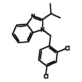 CC(C)c1nc2ccccc2n1Cc1ccc(Cl)cc1Cl